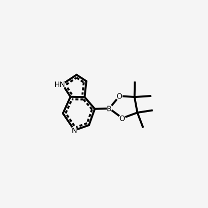 CC1(C)OB(c2cncc3[nH]ccc23)OC1(C)C